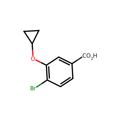 O=C(O)c1ccc(Br)c(OC2CC2)c1